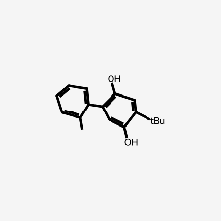 Cc1ccccc1-c1cc(O)c(C(C)(C)C)cc1O